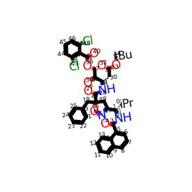 CC(C)[C@H](NC(=O)c1cccc2ccccc12)C1=NOC(Cc2ccccc2)(C(=O)N[C@@H](CC(=O)OC(C)(C)C)C(=O)COC(=O)c2c(Cl)cccc2Cl)C1